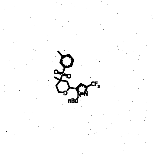 CCCCn1nc(C(F)(F)F)cc1C1CC(C)(S(=O)(=O)c2cccc(C)c2)CCO1